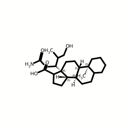 CC(CO)C(OC(N)=O)[C@]12CC[C@H]3[C@@H](CCC4CCCC[C@@]43C)[C@@H]1CCC2C(=O)O